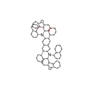 c1ccc(-c2cc3cc(N(c4cccc5ccccc45)c4cccc5oc6ccccc6c45)c(-c4ccccc4)cc3cc2N(c2cccc3ccccc23)c2cccc3oc4ccccc4c23)cc1